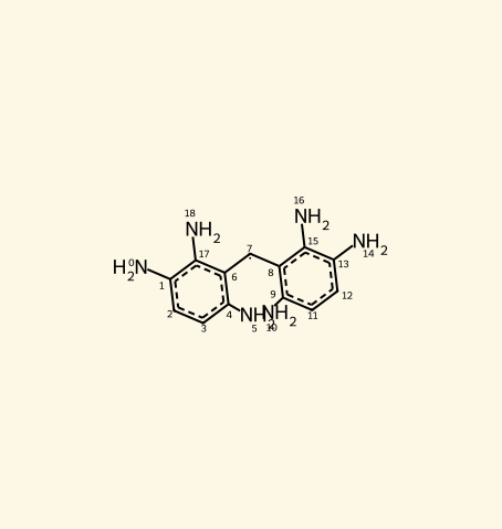 Nc1ccc(N)c([CH]c2c(N)ccc(N)c2N)c1N